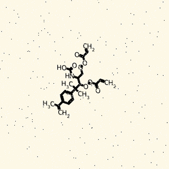 C=CC(=O)OOCC(NC(=O)O)C(OOC(=O)C=C)C(C)(C)c1ccc(C(=C)C)cc1